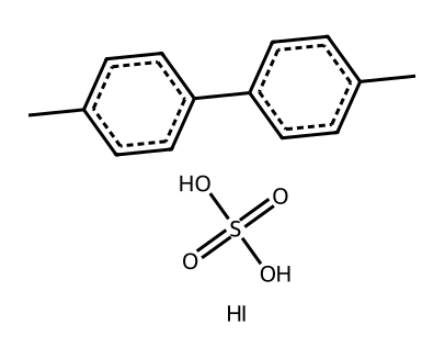 Cc1ccc(-c2ccc(C)cc2)cc1.I.O=S(=O)(O)O